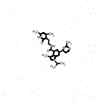 Cc1nccc(-c2cc(C(=O)NCCc3c(C)cc(C)[nH]c3=O)c3c(C)cn(C(C)C)c3c2)n1